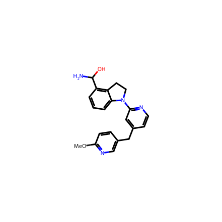 COc1ccc(Cc2ccnc(N3CCc4c(C(N)O)cccc43)c2)cn1